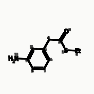 CCSC(=O)Cc1cccc(N)c1